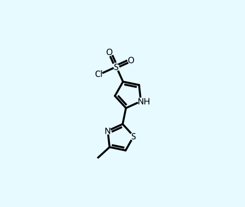 Cc1csc(-c2cc(S(=O)(=O)Cl)c[nH]2)n1